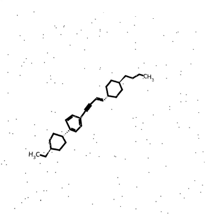 CCCC[C@H]1CC[C@H](C=CC#Cc2ccc([C@H]3CC[C@H](CC)CC3)cc2)CC1